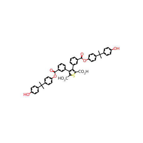 CC(C)(c1ccc(O)cc1)c1ccc(OC(=O)c2cccc(-c3c(C(=O)O)sc(C(=O)O)c3-c3cccc(C(=O)Oc4ccc(C(C)(C)c5ccc(O)cc5)cc4)c3)c2)cc1